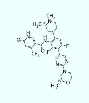 C[C@@H]1CN(c2ncc(-c3c(F)cc(N4CCN(C)[C@@H](C)C4)c(NC(=O)c4c[nH]c(=O)cc4C(F)(F)F)c3F)cn2)CCO1